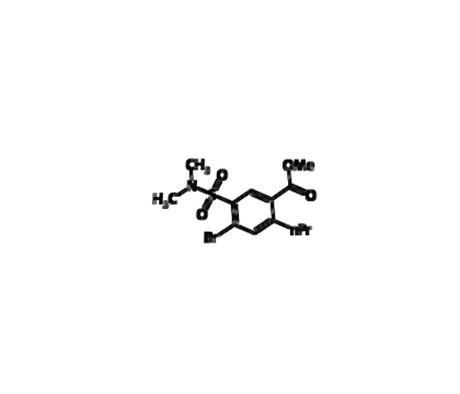 CCCc1cc(Br)c(S(=O)(=O)N(C)C)cc1C(=O)OC